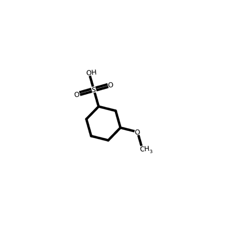 COC1CCCC(S(=O)(=O)O)C1